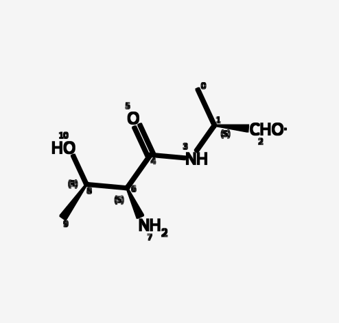 C[C@@H]([C]=O)NC(=O)[C@@H](N)[C@@H](C)O